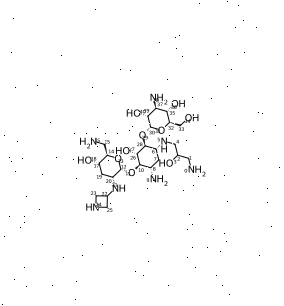 NCC(O)CN[C@@H]1C[C@H](N)[C@@H](O[C@H]2O[C@H](CN)[C@@H](O)C[C@H]2NC2CNC2)[C@H](O)[C@H]1O[C@H]1O[C@H](CO)[C@@H](O)[C@H](N)[C@H]1O